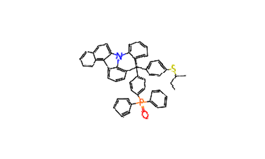 CCC(C)Sc1ccc(C2(c3ccc(P(=O)(c4ccccc4)c4ccccc4)cc3)c3ccccc3-n3c4ccc5ccccc5c4c4cccc2c43)cc1